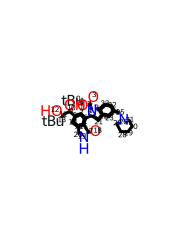 CC(C)(C)OC(=O)n1c(-c2cc(C(O)C(O)C(C)(C)C)cc3c2C(=O)NC3)cc2cc(CN3CCCCC3)ccc21